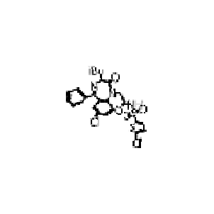 CC[C@H](C)C1N=C(c2ccccc2)c2cc(Cl)ccc2N(CC(=O)NS(=O)(=O)c2ccc(Cl)s2)C1=O